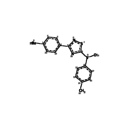 CCCCc1ccc(-c2nsc([S+]([O-])c3ccc(C)cc3)n2)cc1